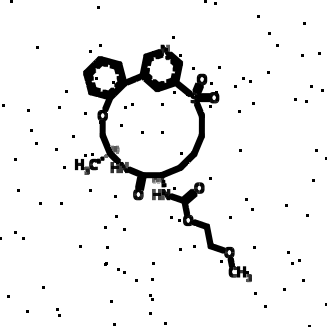 COCCOC(=O)N[C@H]1CCCCS(=O)(=O)c2cncc(c2)-c2ccccc2OC[C@@H](C)NC1=O